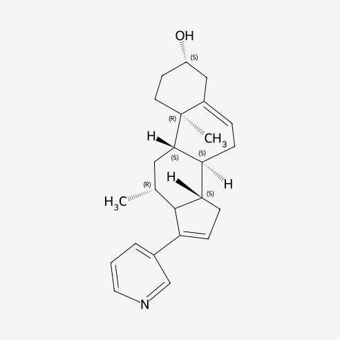 C[C@@H]1C[C@H]2[C@@H](CC=C3C[C@@H](O)CC[C@@]32C)[C@@H]2CC=C(c3cccnc3)C12